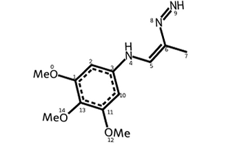 COc1cc(N/C=C(/C)N=N)cc(OC)c1OC